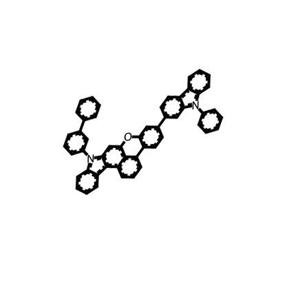 c1ccc(-c2cccc(-n3c4ccccc4c4c5cccc6c5c(cc43)Oc3cc(-c4ccc5c7ccccc7n(-c7ccccc7)c5c4)ccc3-6)c2)cc1